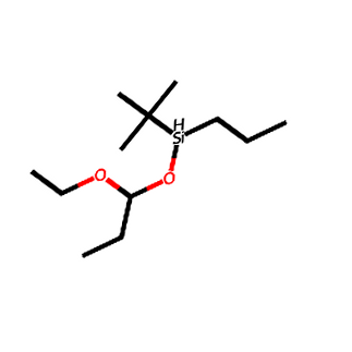 CCC[SiH](OC(CC)OCC)C(C)(C)C